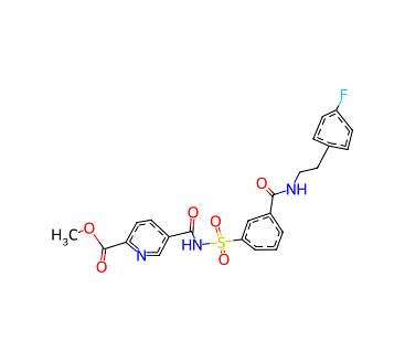 COC(=O)c1ccc(C(=O)NS(=O)(=O)c2cccc(C(=O)NCCc3ccc(F)cc3)c2)cn1